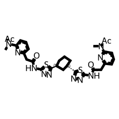 CC(=O)N(C)c1cccc(CC(=O)Nc2nnc([C@H]3CCC[C@H](c4nnc(NC(=O)Cc5cccc(N(C)C(C)=O)n5)s4)C3)s2)n1